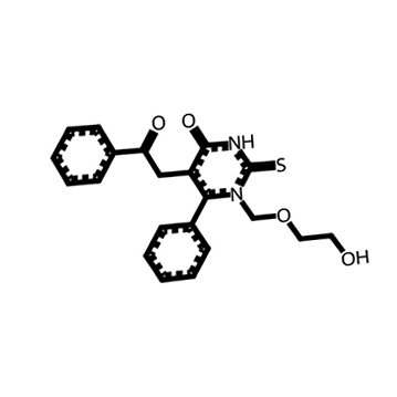 O=C(Cc1c(-c2ccccc2)n(COCCO)c(=S)[nH]c1=O)c1ccccc1